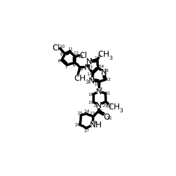 Cc1nn(C(C)c2ccc(Cl)cc2Cl)c2nc(N3CCN(C(=O)C4CCCCN4)C(C)C3)cnc12